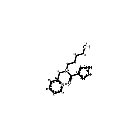 O=C(c1c[nH]nn1)N(CCCCO)Cc1ccccn1